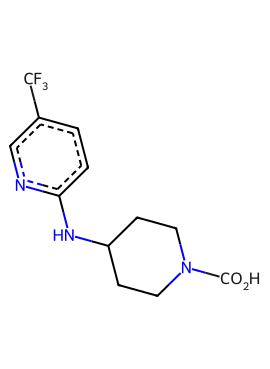 O=C(O)N1CCC(Nc2ccc(C(F)(F)F)cn2)CC1